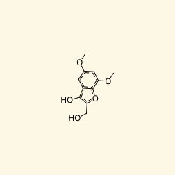 COc1cc(OC)c2oc(CO)c(O)c2c1